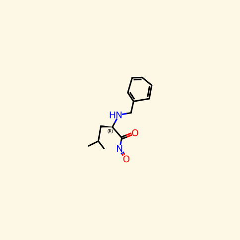 CC(C)C[C@@H](NCc1ccccc1)C(=O)N=O